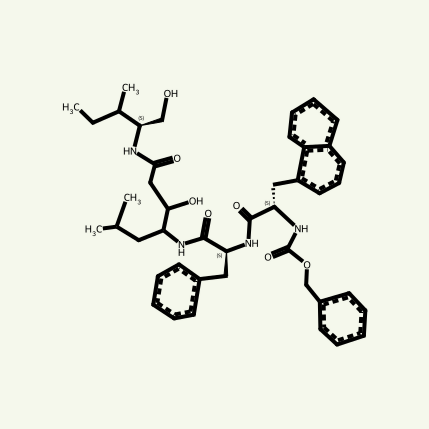 CCC(C)[C@@H](CO)NC(=O)CC(O)C(CC(C)C)NC(=O)[C@H](Cc1ccccc1)NC(=O)[C@H](Cc1cccc2ccccc12)NC(=O)OCc1ccccc1